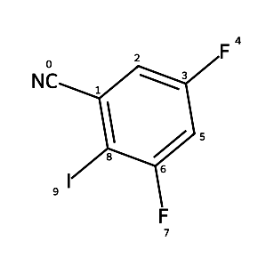 N#Cc1cc(F)cc(F)c1I